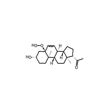 CC(=O)[C@H]1CC[C@H]2[C@@H]3C=C[C@@]4(OO)C[C@@H](O)CC[C@]4(C)[C@H]3CC[C@]12C